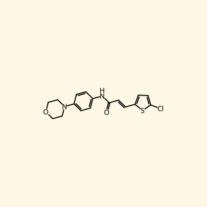 O=C(/C=C/c1ccc(Cl)s1)Nc1ccc(N2CCOCC2)cc1